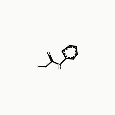 O=C(CI)Nc1[c]cccc1